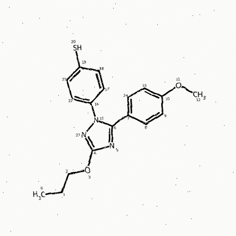 CCCOc1nc(-c2ccc(OC)cc2)n(-c2ccc(S)cc2)n1